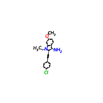 CCn1c(C#Cc2ccc(Cl)cc2)c(N)c2ccc(OC)cc21